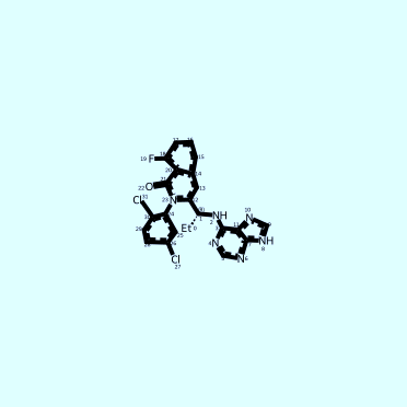 CC[C@@H](Nc1ncnc2[nH]cnc12)c1cc2cccc(F)c2c(=O)n1-c1cc(Cl)ccc1Cl